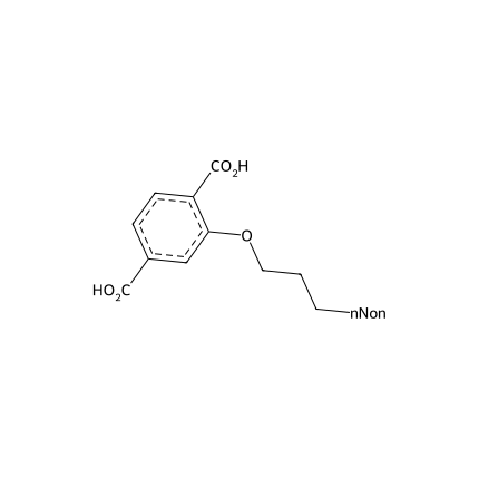 CCCCCCCCCCCCOc1cc(C(=O)O)ccc1C(=O)O